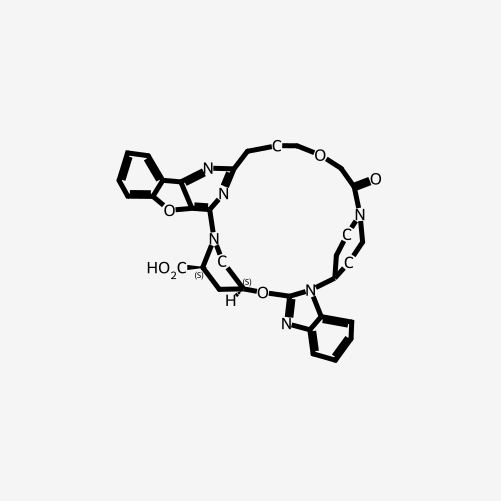 O=C(O)[C@@H]1C[C@H]2CN1c1nc(nc3c1oc1ccccc13)CCCOCC(=O)N1CCC(CC1)n1c(nc3ccccc31)O2